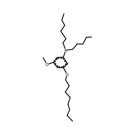 CCCCCCCCOc1cc(OC)cc(N(CCCCC)CCCCCC)c1